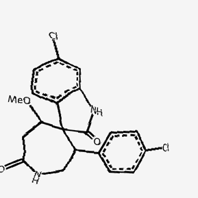 COC1CC(=O)NCC(c2ccc(Cl)cc2)C12C(=O)Nc1cc(Cl)ccc12